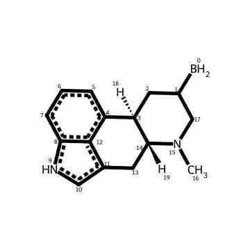 BC1C[C@@H]2c3cccc4[nH]cc(c34)C[C@H]2N(C)C1